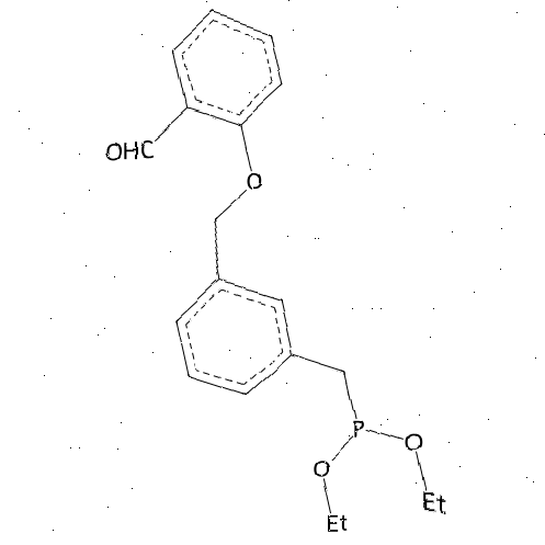 CCOP(Cc1cccc(COc2ccccc2C=O)c1)OCC